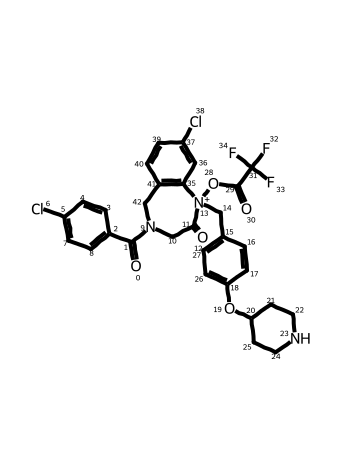 O=C(c1ccc(Cl)cc1)N1CC(=O)[N+](Cc2ccc(OC3CCNCC3)cc2)(OC(=O)C(F)(F)F)c2cc(Cl)ccc2C1